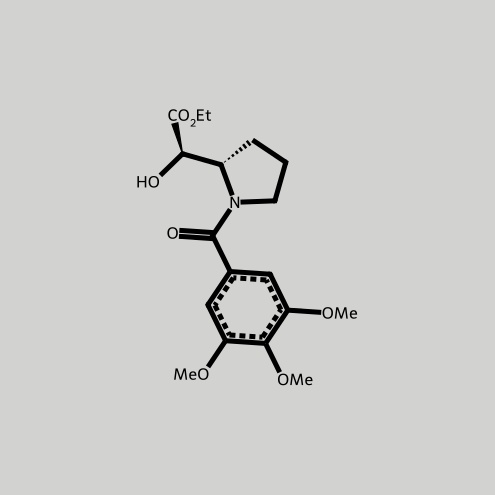 CCOC(=O)[C@H](O)[C@@H]1CCCN1C(=O)c1cc(OC)c(OC)c(OC)c1